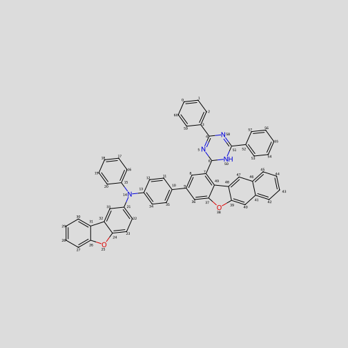 c1ccc(C2=NC(c3cc(-c4ccc(N(c5ccccc5)c5ccc6oc7ccccc7c6c5)cc4)cc4oc5cc6ccccc6cc5c34)NC(c3ccccc3)=N2)cc1